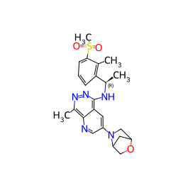 Cc1c([C@@H](C)Nc2nnc(C)c3ncc(N4CC5CC4CO5)cc23)cccc1S(C)(=O)=O